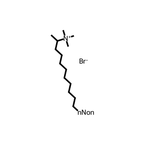 CCCCCCCCCCCCCCCCCCC(C)[N+](C)(C)C.[Br-]